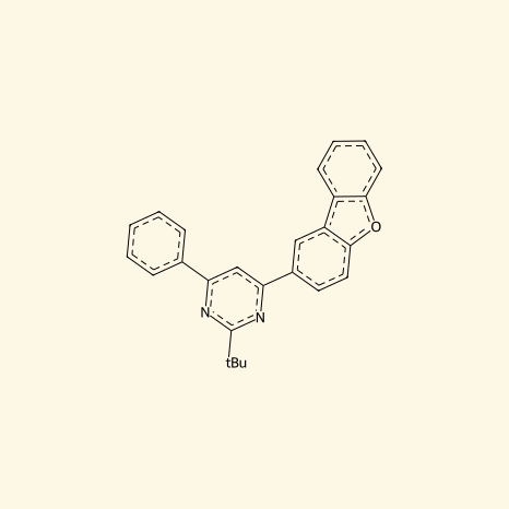 CC(C)(C)c1nc(-c2ccccc2)cc(-c2ccc3oc4ccccc4c3c2)n1